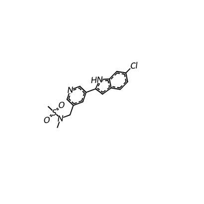 CN(Cc1cncc(-c2cc3ccc(Cl)cc3[nH]2)c1)S(C)(=O)=O